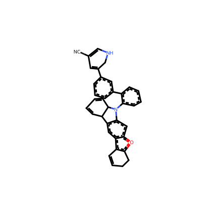 N#CC1=CNCC(c2cccc(-c3ccccc3N3c4cc5oc6c(c5cc4C4C=CC=CC43)C=CCC6)c2)=C1